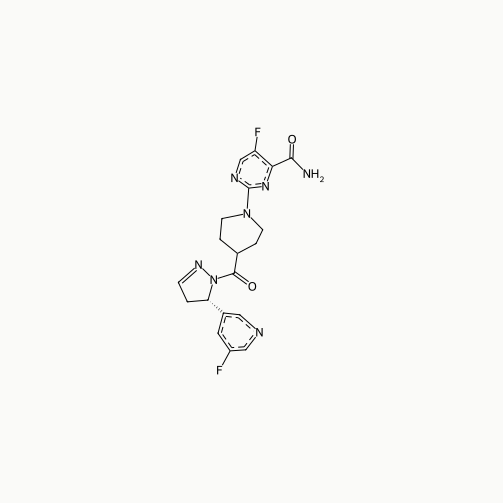 NC(=O)c1nc(N2CCC(C(=O)N3N=CC[C@H]3c3cncc(F)c3)CC2)ncc1F